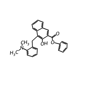 CN(C)c1ccccc1Cc1c(O)c(C(=O)Oc2ccccc2)cc2ccccc12